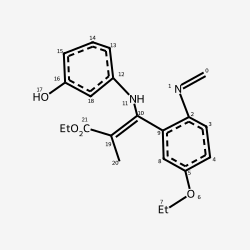 C=Nc1ccc(OCC)cc1/C(Nc1cccc(O)c1)=C(\C)C(=O)OCC